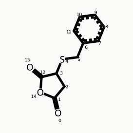 O=C1CC(SCc2ccccc2)C(=O)O1